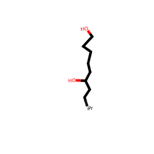 CC(C)CCC(O)CCCCCO